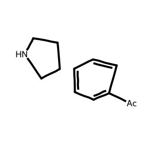 C1CCNC1.CC(=O)c1ccccc1